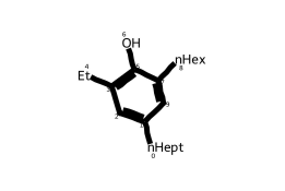 CCCCCCCc1cc(CC)c(O)c(CCCCCC)c1